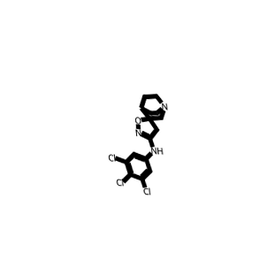 Clc1cc(NC2=NOC3(C2)CN2CCC3CC2)cc(Cl)c1Cl